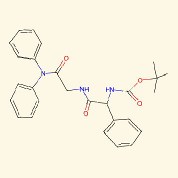 CC(C)(C)OC(=O)NC(C(=O)NCC(=O)N(c1ccccc1)c1ccccc1)c1ccccc1